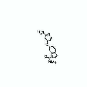 CNC(=O)n1ccc2ccc(Oc3ccnc(N)c3)cc21